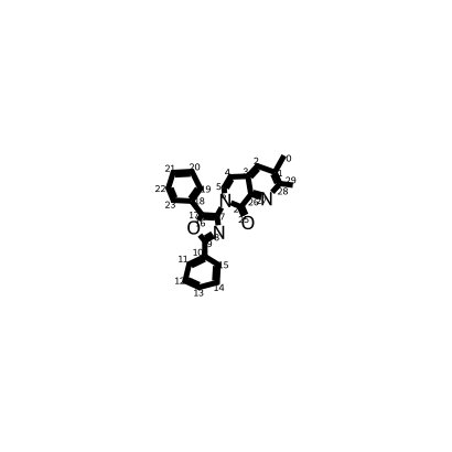 Cc1cc2ccn(-c3nc(-c4ccccc4)oc3-c3ccccc3)c(=O)c2nc1C